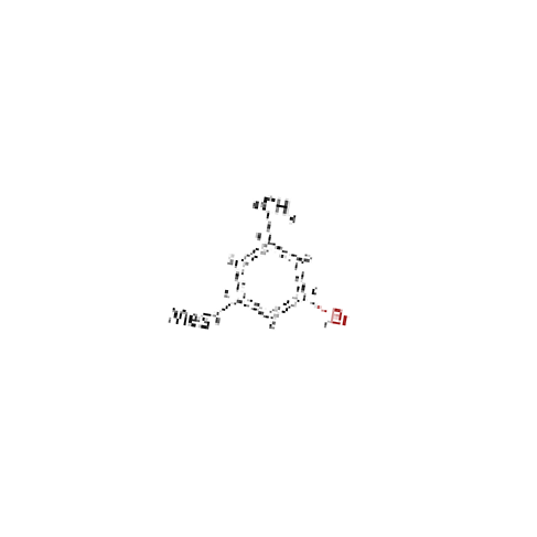 CSc1cc(C)cc(Br)c1